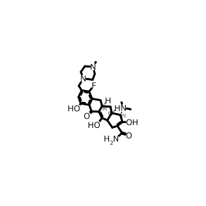 CN1CCN(Cc2cc(O)c3c(c2F)C[C@H]2C[C@@H]4C(CC(C(N)=O)=C(O)[C@H]4N(C)C)C(O)=C2C3=O)CC1